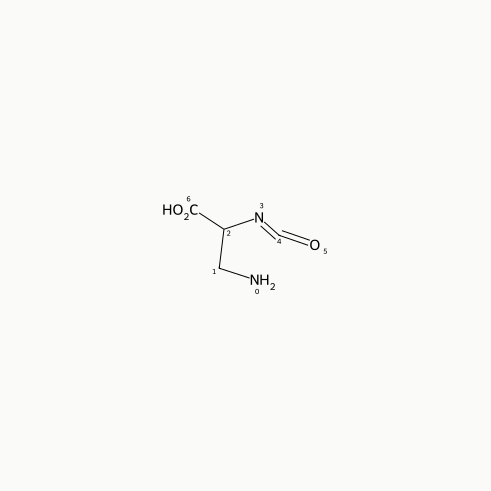 NCC(N=C=O)C(=O)O